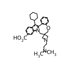 CN(C)CCN1CC2(COc3ccccc3-c3c(C4CCCCC4)c4ccc(C(=O)O)cc4n3C2)C1